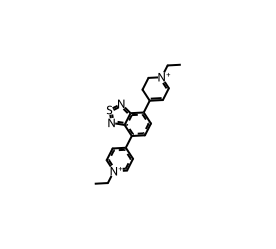 CC[N+]1=CC=C(c2ccc(-c3cc[n+](CC)cc3)c3nsnc23)CC1